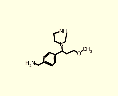 COCCC(c1ccc(CN)cc1)N1CCNCC1